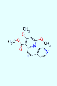 COC(=O)c1c(OC)cc(OC)nc1/C=C\c1ccncc1